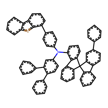 c1ccc(-c2ccc3c(c2)C2(c4ccccc4-3)c3ccccc3-c3c(N(c4ccc(-c5cccc6c5sc5ccccc56)cc4)c4ccc(-c5ccccc5)c(-c5ccccc5)c4)cccc32)cc1